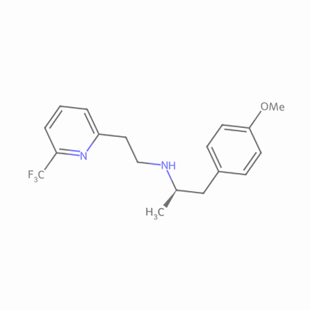 COc1ccc(C[C@@H](C)NCCc2cccc(C(F)(F)F)n2)cc1